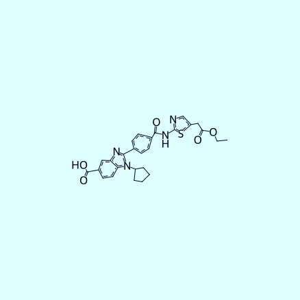 CCOC(=O)Cc1cnc(NC(=O)c2ccc(-c3nc4cc(C(=O)O)ccc4n3C3CCCC3)cc2)s1